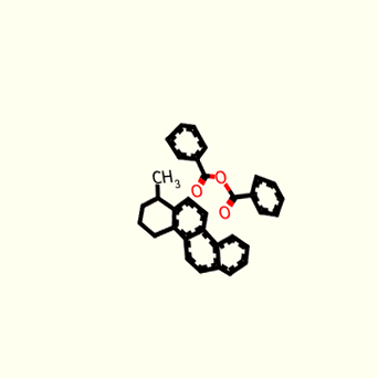 CC1CCCc2c1ccc1c2ccc2ccccc21.O=C(OC(=O)c1ccccc1)c1ccccc1